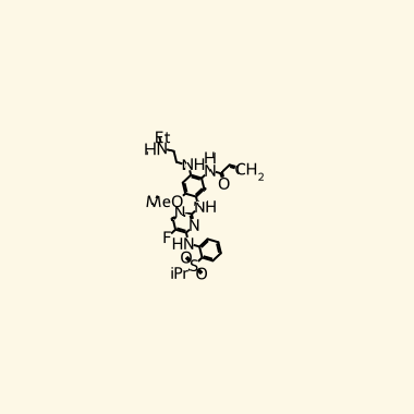 C=CC(=O)Nc1cc(Nc2ncc(F)c(Nc3ccccc3S(=O)(=O)C(C)C)n2)c(OC)cc1NCCNCC